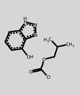 CC(C)COC(=O)Cl.Oc1cccc2[nH]nnc12